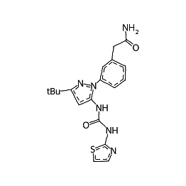 CC(C)(C)c1cc(NC(=O)Nc2nccs2)n(-c2cccc(CC(N)=O)c2)n1